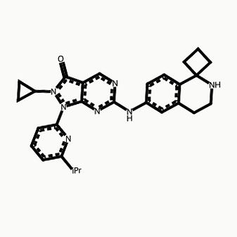 CC(C)c1cccc(-n2c3nc(Nc4ccc5c(c4)CCNC54CCC4)ncc3c(=O)n2C2CC2)n1